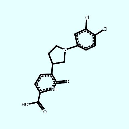 O=C(O)c1ccc(C2CCN(c3ccc(Cl)c(Cl)c3)C2)c(=O)[nH]1